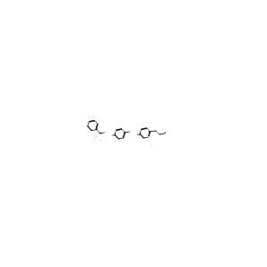 COc1cc(OCc2ccc(OCC(=N)c3ccccc3)cc2)ccc1CCC(=O)O